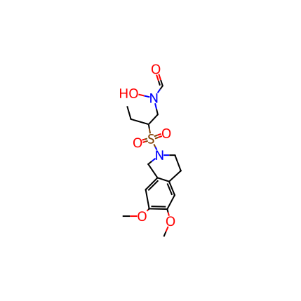 CCC(CN(O)C=O)S(=O)(=O)N1CCc2cc(OC)c(OC)cc2C1